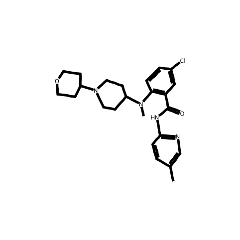 Cc1ccc(NC(=O)c2cc(Cl)ccc2N(C)C2CCN(C3CCOCC3)CC2)nc1